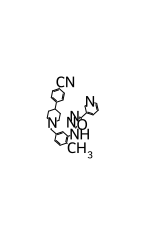 Cc1ccc(CN2CCC(c3ccc(C#N)cc3)CC2)cc1Nc1nnc(-c2cccnc2)o1